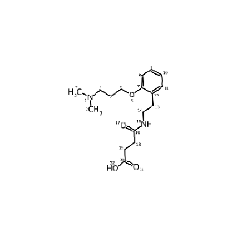 CN(C)CCCOc1ccccc1CCNC(=O)CCC(=O)O